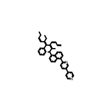 C=C\C=C/C(=C(\C)C(C)c1cccc2c(-c3ccc(-c4ccncc4)cn3)cccc12)C(=C(/C=C\CC)CC)/c1ccccc1